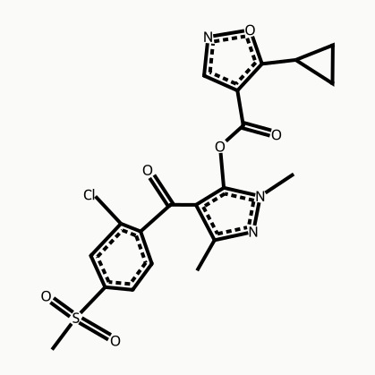 Cc1nn(C)c(OC(=O)c2cnoc2C2CC2)c1C(=O)c1ccc(S(C)(=O)=O)cc1Cl